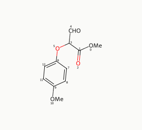 COC(=O)C(C=O)Oc1ccc(OC)cc1